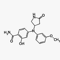 COc1cccc(N(c2ccc(C(N)=O)c(O)c2)C2CNC(=O)C2)c1